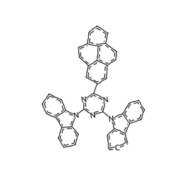 c1cc2ccc3cc(-c4nc(-n5c6ccccc6c6ccccc65)nc(-n5c6ccccc6c6ccccc65)n4)cc4ccc(c1)c2c34